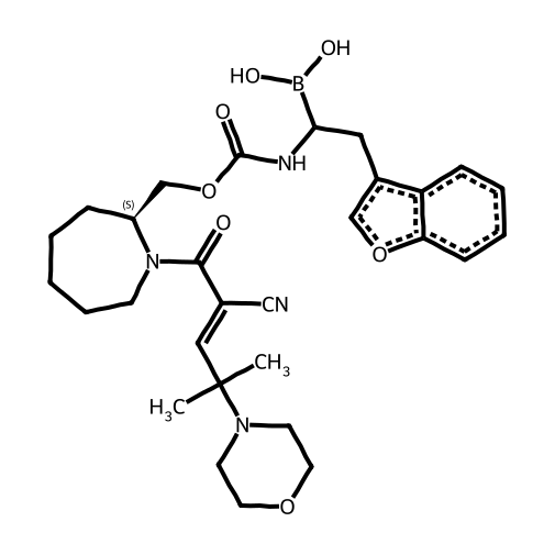 CC(C)(C=C(C#N)C(=O)N1CCCCC[C@H]1COC(=O)NC(Cc1coc2ccccc12)B(O)O)N1CCOCC1